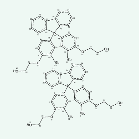 CC(C)(C)c1cc(C2(c3ccc(OCCO)c(C(C)(C)C)c3)c3ccccc3-c3ccccc32)ccc1OCCO.CCC(C)c1cc(C2(c3ccc(OCCO)c(C(C)CC)c3)c3ccccc3-c3ccccc32)ccc1OCCO